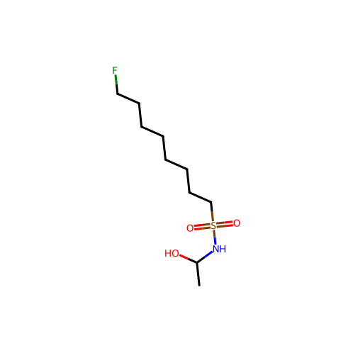 CC(O)NS(=O)(=O)CCCCCCCCF